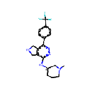 CN1CCC[C@@H](Nc2nnc(-c3ccc(C(F)(F)F)cc3)c3c2CNC3)C1